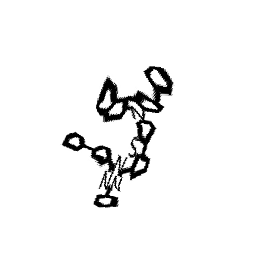 c1ccc(-c2ccc(-c3nc(-c4ccccc4)nc(-c4cccc5c4sc4cc(-n6c7ccc(-c8ccccc8)cc7c7c8ccccc8ccc76)ccc45)n3)cc2)cc1